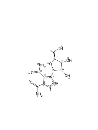 NC(=O)c1n[nH]c([C@@H]2O[C@@H](CO)[C@H](O)[C@@H]2O)c1C(N)=O